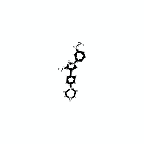 COc1cccc(-n2cc(-c3ccc(N4CCOCC4)cc3)c(C)n2)c1